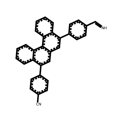 N#Cc1ccc(-c2cc3cc(-c4ccc(C=N)cc4)c4ccccc4c3c3ccccc23)cc1